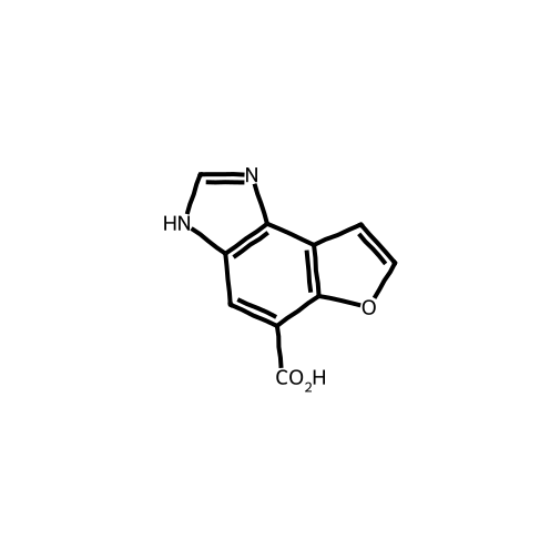 O=C(O)c1cc2[nH]cnc2c2ccoc12